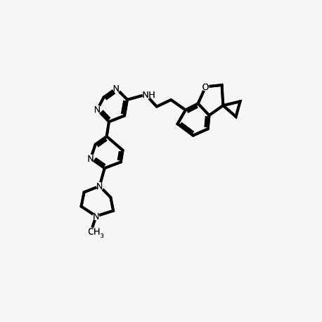 CN1CCN(c2ccc(-c3cc(NCCc4cccc5c4OCC54CC4)ncn3)cn2)CC1